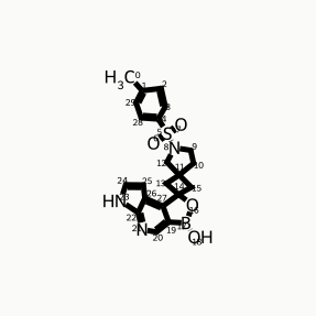 Cc1ccc(S(=O)(=O)N2CCC3(C2)CC2(C3)OB(O)c3cnc4[nH]ccc4c32)cc1